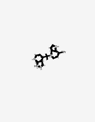 CC(C)c1cc[n+](C(C)(C)c2ccnc3[nH]ncc23)c2ccoc12